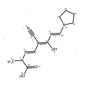 CN(N=CC(C#N)=C(O)N=CN1CCCC1)C(=O)O